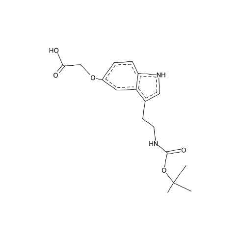 CC(C)(C)OC(=O)NCCc1c[nH]c2ccc(OCC(=O)O)cc12